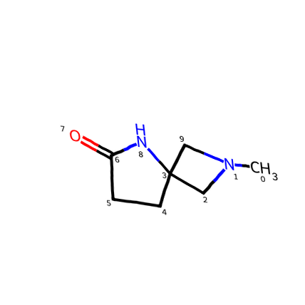 CN1CC2(CCC(=O)N2)C1